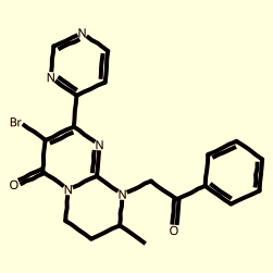 CC1CCn2c(nc(-c3ccncn3)c(Br)c2=O)N1CC(=O)c1ccccc1